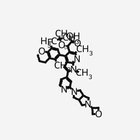 Cc1nc2c(cc(-c3ccnc(N4CC5CN(C6COC6)CC5C4)c3)n2C)c(-c2cc(F)c3c(c2C)CCCO3)c1[C@H](OC(C)(C)C)C(=O)O